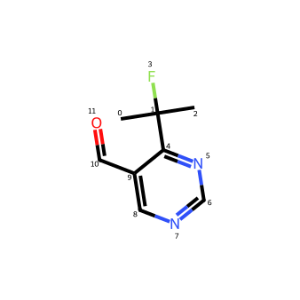 CC(C)(F)c1ncncc1C=O